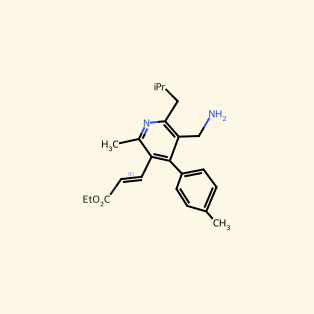 CCOC(=O)/C=C/c1c(C)nc(CC(C)C)c(CN)c1-c1ccc(C)cc1